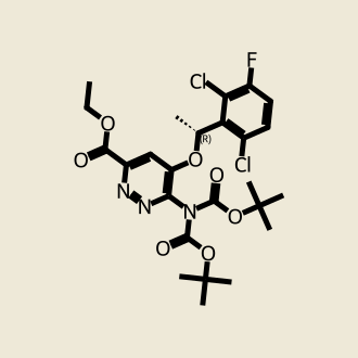 CCOC(=O)c1cc(O[C@H](C)c2c(Cl)ccc(F)c2Cl)c(N(C(=O)OC(C)(C)C)C(=O)OC(C)(C)C)nn1